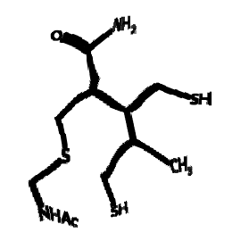 CC(=O)NCSCC(C(N)=O)C(CS)C(C)CS